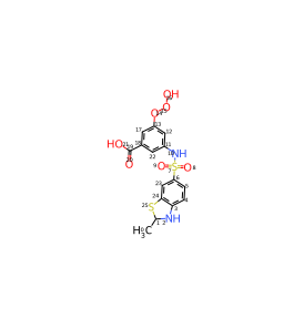 CC1Nc2ccc(S(=O)(=O)Nc3cc(OOO)cc(C(=O)O)c3)cc2S1